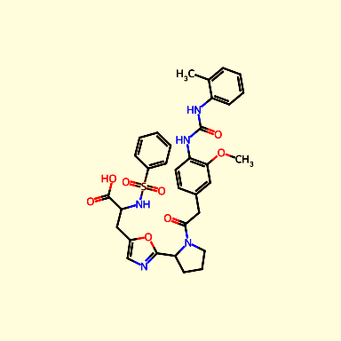 COc1cc(CC(=O)N2CCCC2c2ncc(CC(NS(=O)(=O)c3ccccc3)C(=O)O)o2)ccc1NC(=O)Nc1ccccc1C